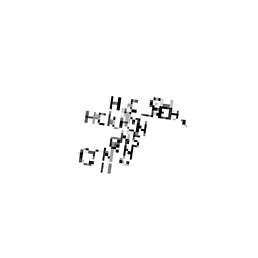 CCn1c(CCN(C)C)nc2sc(N3CCCC3C(=O)NCc3ccccc3)nc2c1=O.Cl